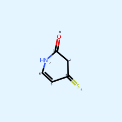 O=C1CC(=S)C=CN1